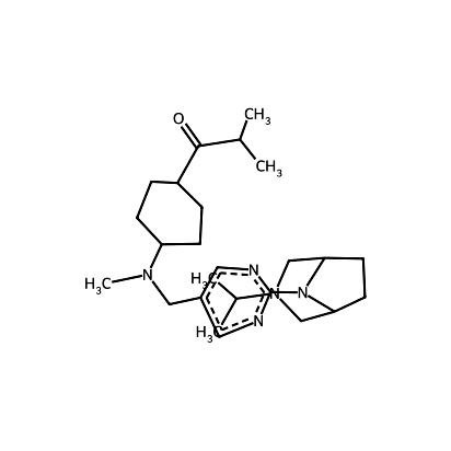 CC(C)C(=O)C1CCC(N(C)Cc2cnc(N3C4CCC3CN(C(C)C)C4)nc2)CC1